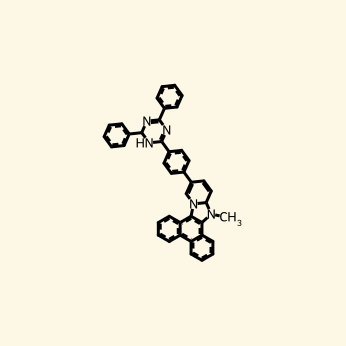 CN1c2c(c3ccccc3c3ccccc23)N2C=C(c3ccc(C4=NC(c5ccccc5)=NC(c5ccccc5)N4)cc3)C=CC12